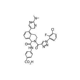 CN(C)c1ncc(-c2cccc3c2CCN(C(=O)c2cn(-c4cccc(Cl)c4F)nn2)C3C(=O)Nc2ccc(C(=O)O)cc2)cn1